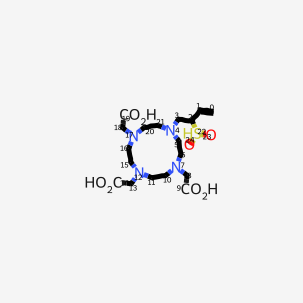 C=CC(CN1CCN(CC(=O)O)CCN(CC(=O)O)CCN(CC(=O)O)CC1)[SH](=O)=O